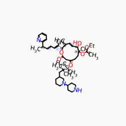 CCOC(C)O[C@]1(C)CC[C@@H](O[Si](C)(C)C(C)(C)CC2CCCN(C3CCNCC3)C2)CC(=O)O[C@H](/C(C)=C/C=C/[C@@H](C)c2ccccn2)[C@@H](C)/C=C/[C@@H]1O